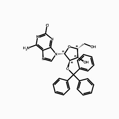 Nc1nc(Cl)nc2c1ncn2[C@@H]1O[C@H](CO)[C@@H](O)[C@H]1OC(c1ccccc1)(c1ccccc1)c1ccccc1